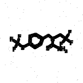 NC(=S)N(Cc1ccc(SC(F)(F)F)cc1)CC(F)(F)F